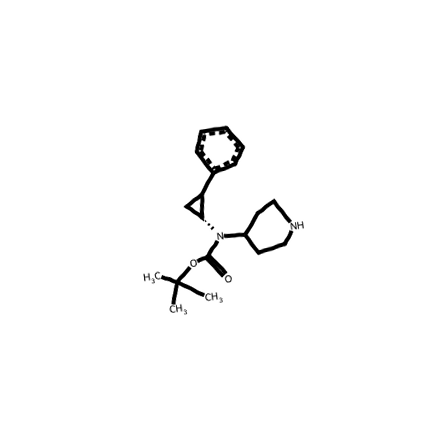 CC(C)(C)OC(=O)N(C1CCNCC1)[C@@H]1CC1c1ccccc1